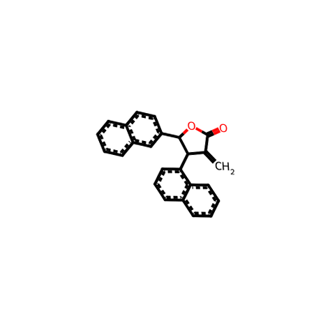 C=C1C(=O)OC(c2ccc3ccccc3c2)C1c1cccc2ccccc12